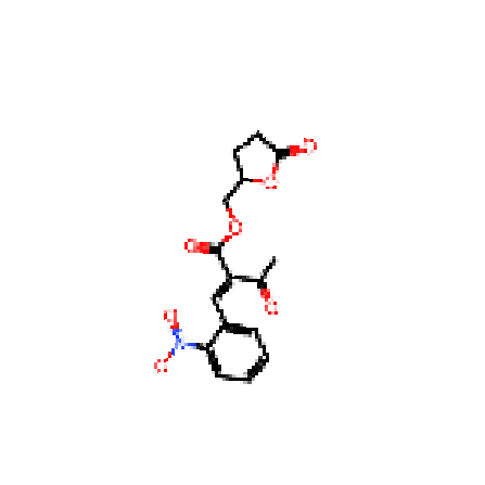 CC(=O)/C(=C\c1ccccc1[N+](=O)[O-])C(=O)OCC1CCC(=O)O1